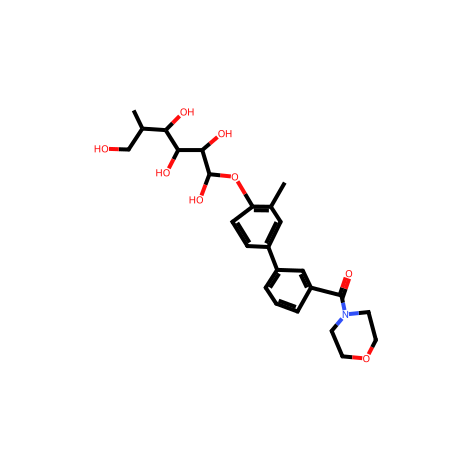 Cc1cc(-c2cccc(C(=O)N3CCOCC3)c2)ccc1OC(O)C(O)C(O)C(O)C(C)CO